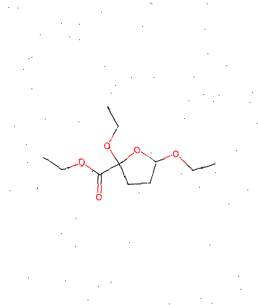 CCOC(=O)C1(OCC)CCC(OCC)O1